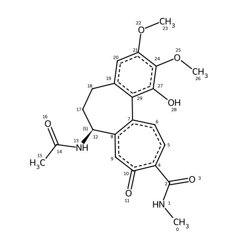 CNC(=O)c1ccc2c(cc1=O)[C@@H](NC(C)=O)CCc1cc(OC)c(OC)c(O)c1-2